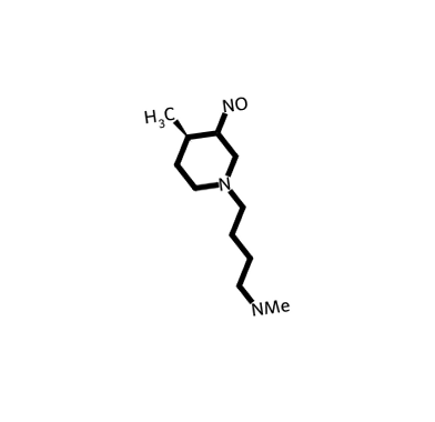 CNCCCCN1CC[C@@H](C)C(N=O)C1